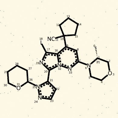 C[C@@H]1COCCN1c1cc(C2(C#N)CCCC2)c2c(I)nc(-c3ccnn3C3CCCCO3)n2n1